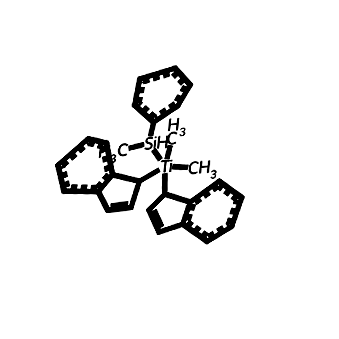 C[SiH](c1ccccc1)[Ti]([CH3])([CH3])([CH]1C=Cc2ccccc21)[CH]1C=Cc2ccccc21